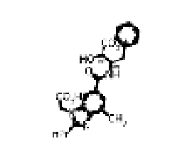 CCCc1nc2c(C)cc(C(=O)N[C@H](Cc3ccccc3)[C@@H](O)C(=O)O)cc2n1CC(=O)O